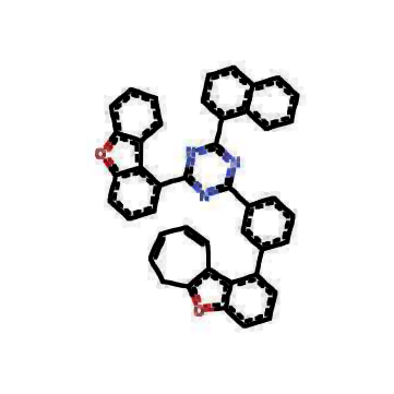 C1=CCc2oc3cccc(-c4cccc(-c5nc(-c6cccc7ccccc67)nc(-c6cccc7oc8ccccc8c67)n5)c4)c3c2C=C1